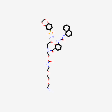 C[C@@H]1CN([C@@H](C)COC(=O)NCCOCCOCCN)C(=O)c2cccc(NC(=O)Nc3cccc4ccccc34)c2O[C@H]1CN(C)S(=O)(=O)c1ccc2c(c1)OCCO2